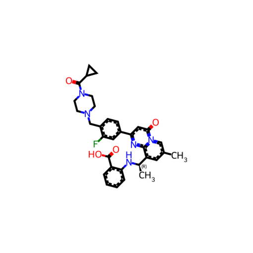 Cc1cc([C@@H](C)Nc2ccccc2C(=O)O)c2nc(-c3ccc(CN4CCN(C(=O)C5CC5)CC4)c(F)c3)cc(=O)n2c1